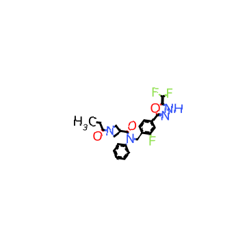 CCC(=O)N1CC(C(=O)N(Cc2ccc(C3=NNC(C(F)F)O3)cc2F)c2ccccc2)C1